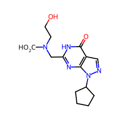 O=C(O)N(CCO)Cc1nc2c(cnn2C2CCCC2)c(=O)[nH]1